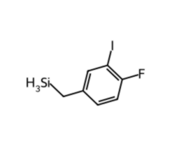 Fc1ccc(C[SiH3])cc1I